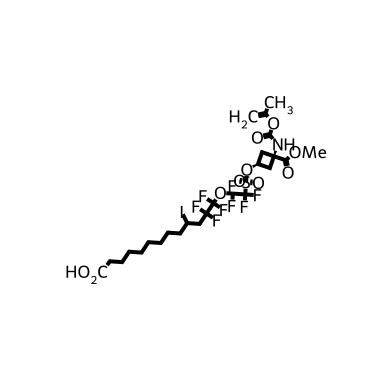 C=C(C)OC(=O)N[C@]1(C(=O)OC)C[C@H](OS(=O)(=O)C(F)(F)C(F)(F)OC(F)(F)C(F)(F)CC(I)CCCCCCCCC(=O)O)C1